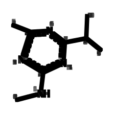 CNc1nc(C)nc(C(C)C)n1